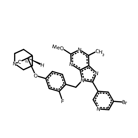 COc1nc(C)c2nc(-c3cncc(Br)c3)n(Cc3ccc(O[C@@H]4CN5CCC4CC5)cc3F)c2n1